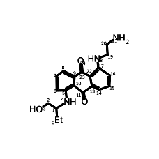 CCC(CO)Nc1cccc2c1C(=O)c1cccc(NCCN)c1C2=O